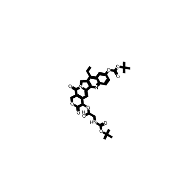 CCc1c2c(nc3ccc(OC(=O)OC(C)(C)C)cc13)-c1cc3c(c(=O)n1C2)COC(=O)C3OC(O)CNC(=O)OC(C)(C)C